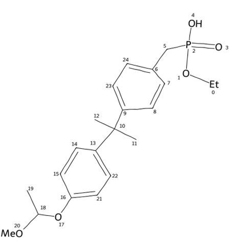 CCOP(=O)(O)Cc1ccc(C(C)(C)c2ccc(OC(C)OC)cc2)cc1